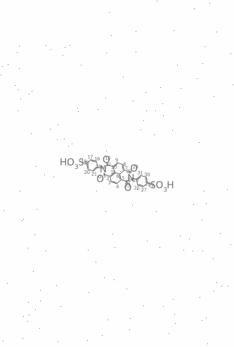 O=C1c2ccc3c4c(ccc(c24)C(=O)N1c1ccc(S(=O)(=O)O)cc1)C(=O)N(c1ccc(S(=O)(=O)O)cc1)C3=O